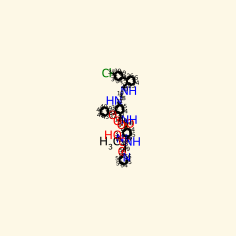 C[N+]([O-])(O)c1cc(S(=O)(=O)NC(=O)c2ccc(NCCNCc3ccccc3-c3ccc(Cl)cc3)cc2Oc2ccccc2)ccc1NCCOc1ccccn1